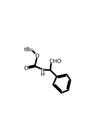 CC(C)(C)OC(=O)NC([C]=O)c1ccccc1